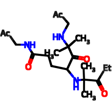 CCC(=O)C(C)(C)NC(CCC(=O)NCC(C)=O)C(=O)C(C)(C)NCC(C)=O